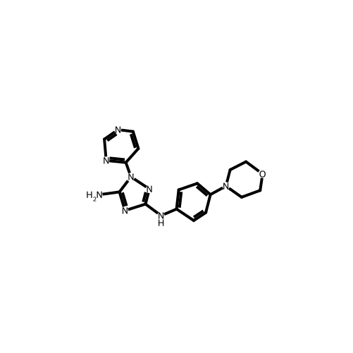 Nc1nc(Nc2ccc(N3CCOCC3)cc2)nn1-c1ccncn1